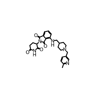 Cc1ccc(CN2CCC(CNc3cccc4c3C(=O)N(C3CCC(=O)NC3=O)C4=O)CC2)cn1